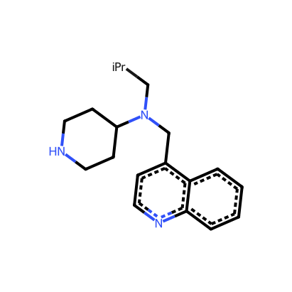 CC(C)CN(Cc1ccnc2ccccc12)C1CCNCC1